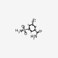 CCc1cc(C(N)=O)cc(S(N)(=O)=O)c1